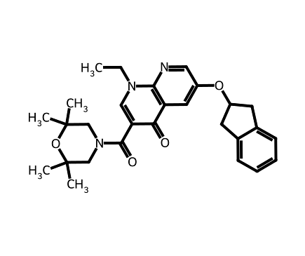 CCn1cc(C(=O)N2CC(C)(C)OC(C)(C)C2)c(=O)c2cc(OC3Cc4ccccc4C3)cnc21